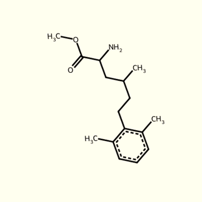 COC(=O)C(N)CC(C)CCc1c(C)cccc1C